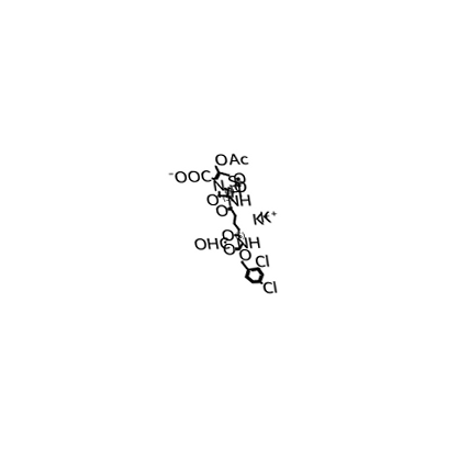 CC(=O)OCC1=C(C(=O)[O-])N2C(=O)[C@H](NC(=O)CCC[C@@H](NC(=O)OCc3ccc(Cl)cc3Cl)O[C-]=O)[C@@H]2S(=O)(=O)C1.[K+].[K+]